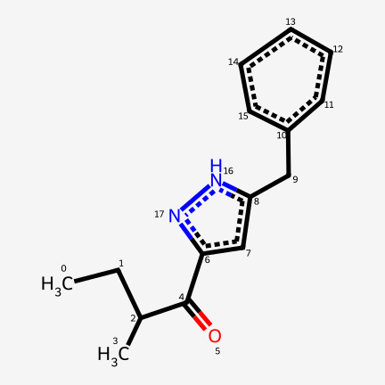 CCC(C)C(=O)c1cc(Cc2ccccc2)[nH]n1